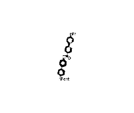 CCCCC[C@H]1CC[C@H](c2ccc(OC(=O)[C@H]3CC[C@H]([C@H]4CC[C@H](CCC)CC4)CC3)cc2)CC1